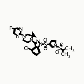 CC(C)S(=O)(=O)n1ccc(S(=O)(=O)n2nc(N3CCN(c4ncc(F)cn4)CC34CC4)c3c(Cl)cccc32)c1